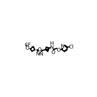 O=C(COc1ccc(Cl)cn1)NC12CC(c3nnc([C@H]4C[C@@H](OC(F)(F)F)C4)o3)(C1)C2